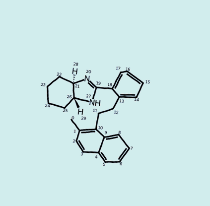 Cc1ccc2ccccc2c1CCc1ccccc1C1=N[C@@H]2CCCC[C@H]2N1